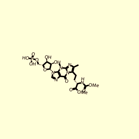 COC(=O)N[C@@H](CCc1c(C)nc2n(C)c3c(ncn3[C@@H]3O[C@H](COP(=O)(O)O)[C@@H](O)[C@H]3O)c(=O)n12)C(=O)OC